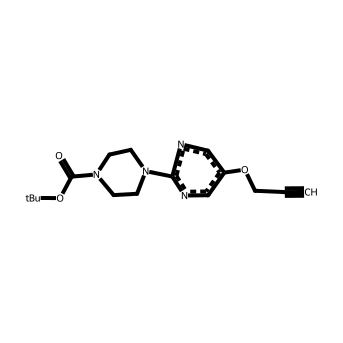 C#CCOc1cnc(N2CCN(C(=O)OC(C)(C)C)CC2)nc1